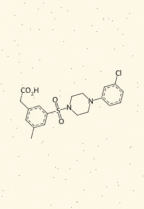 Cc1cc(CC(=O)O)cc(S(=O)(=O)N2CCN(c3cccc(Cl)c3)CC2)c1